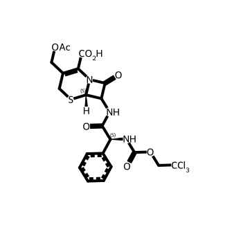 CC(=O)OCC1=C(C(=O)O)N2C(=O)C(NC(=O)[C@@H](NC(=O)OCC(Cl)(Cl)Cl)c3ccccc3)[C@@H]2SC1